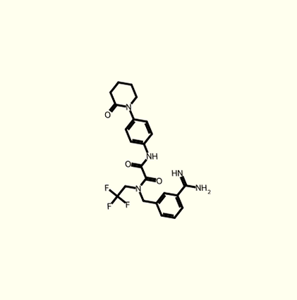 N=C(N)c1cccc(CN(CC(F)(F)F)C(=O)C(=O)Nc2ccc(N3CCCCC3=O)cc2)c1